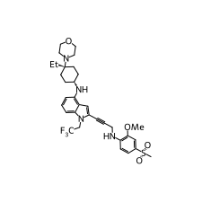 CC[C@]1(N2CCOCC2)CC[C@H](Nc2cccc3c2cc(C#CCNc2ccc(S(C)(=O)=O)cc2OC)n3CC(F)(F)F)CC1